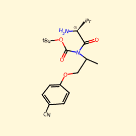 CC(C)[C@H](N)C(=O)N(C(=O)OC(C)(C)C)C(C)COc1ccc(C#N)cc1